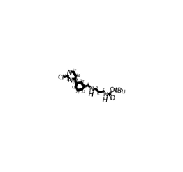 CC(C)(C)OC(=O)NCCCNCc1cccc(-c2ccnc(Cl)n2)c1